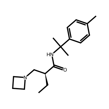 CC[C@@H](CN1CCC1)C(=O)NC(C)(C)c1ccc(C)cc1